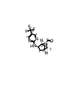 C[C@@H]1[C@H]2C[C@@H](Nc3ncc(C(F)(F)F)cn3)[C@H](C2)N1C=O